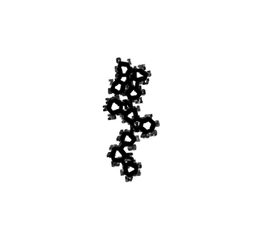 c1ccc2c(c1)-c1ccccc1C21c2ccccc2-c2ccc(-n3c4ccccc4c4cc5c(cc43)c3ccccc3n5-c3ccc(-c4cccc5c4sc4ccccc45)cc3)cc21